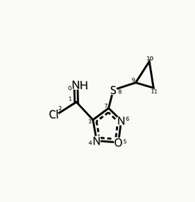 N=C(Cl)c1nonc1SC1CC1